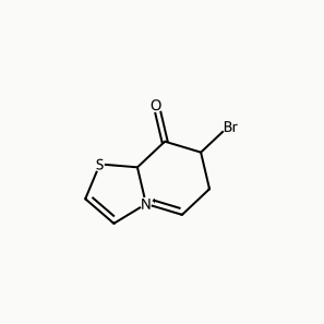 O=C1C(Br)CC=[N+]2C=CSC12